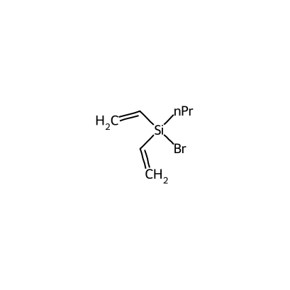 C=C[Si](Br)(C=C)CCC